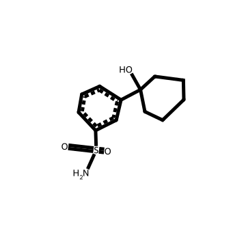 NS(=O)(=O)c1cccc(C2(O)CCCCC2)c1